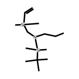 C=C[Si](C)(C)CN(CCC)[Si](C)(C)C(C)(C)C